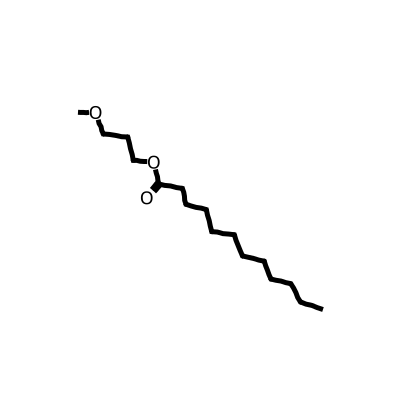 CCCCCCCCCCCC(=O)OCCCOC